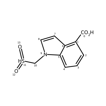 O=C(O)c1cccc2c1ccn2C[SH](=O)=O